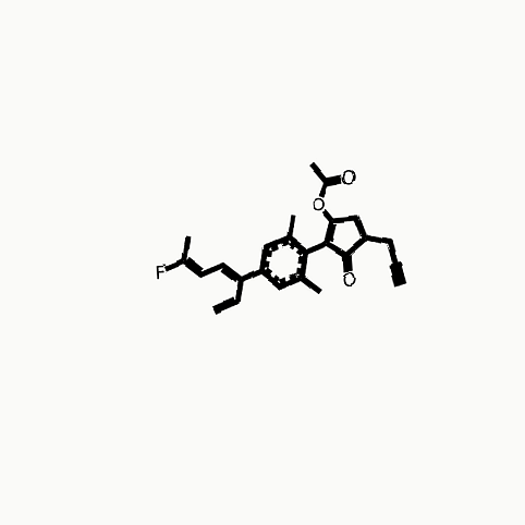 C#CCC1CC(OC(C)=O)=C(c2c(C)cc(/C(C=C)=C/C=C(\C)F)cc2C)C1=O